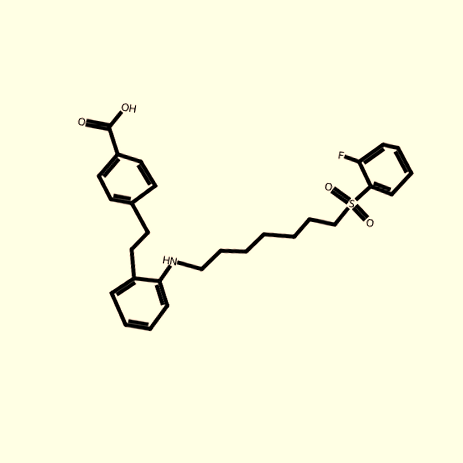 O=C(O)c1ccc(CCc2ccccc2NCCCCCCCS(=O)(=O)c2ccccc2F)cc1